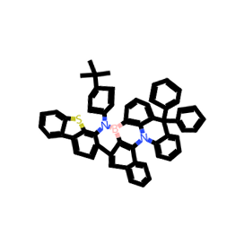 CC(C)(C)c1ccc(N2B3c4cccc5c4N(c4ccccc4C5(c4ccccc4)c4ccccc4)c4c3c(cc3ccccc43)-c3ccc4c(sc5ccccc54)c32)cc1